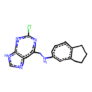 Clc1nc(Nc2ccc3c(c2)CCC3)c2nc[nH]c2n1